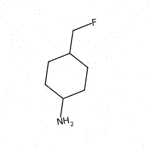 NC1CCC(CF)CC1